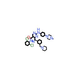 CN1CCN(c2ccc(Nc3ncc4c(=O)n(-c5c(Cl)cccc5Cl)nc(-c5cccc(CN6CCCCC6)c5)c4n3)cc2)CC1